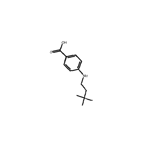 CC(C)(C)CCNc1ccc(C(=O)O)cc1